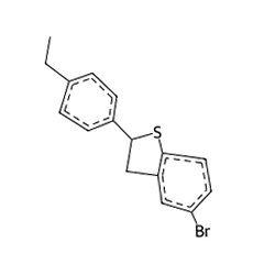 CCc1ccc(C2Cc3cc(Br)ccc3S2)cc1